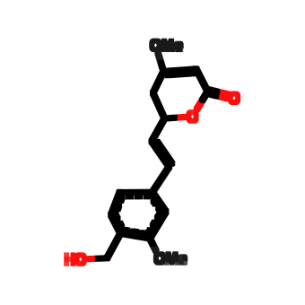 COC1=CC(=O)OC(/C=C/c2ccc(CO)c(OC)c2)C1